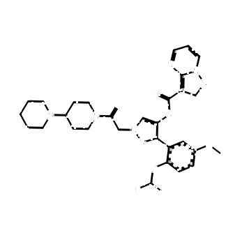 CSc1ccc(OC(F)F)c(C2NN(CC(=O)N3CCC(N4CCCCC4)CC3)C=C2NC(=O)C2=C3N=CC=CN3NC2)c1